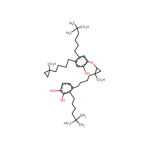 CC(C)(CCCCc1cc(OC2CC2(CCCCc2ccc(O)c(O)c2CCCCC(C)(C)C(=O)O)C(=O)O)c(O)cc1CCCCC1(C(=O)O)CC1)C(=O)O